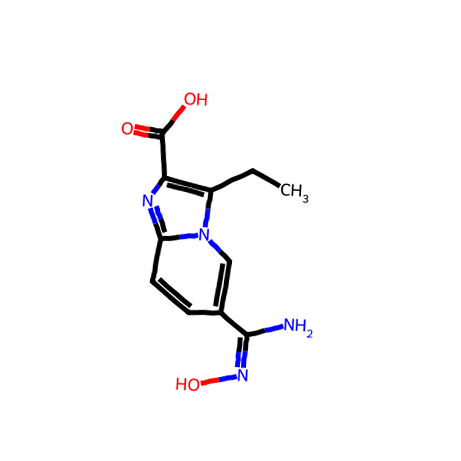 CCc1c(C(=O)O)nc2ccc(/C(N)=N\O)cn12